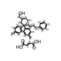 O=C(O)C=CC(=O)O.OCC1CCN(CCSc2ccccc2)C(c2ccc(F)cc2)(c2ccc(F)cc2)C1